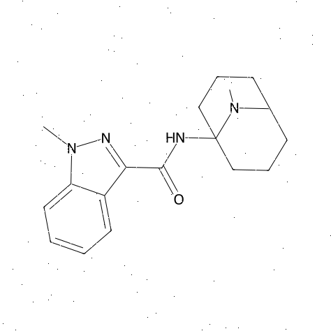 CN1C2CCCC1(NC(=O)c1nn(C)c3ccccc13)CCC2